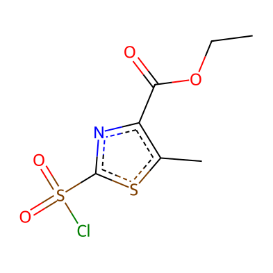 CCOC(=O)c1nc(S(=O)(=O)Cl)sc1C